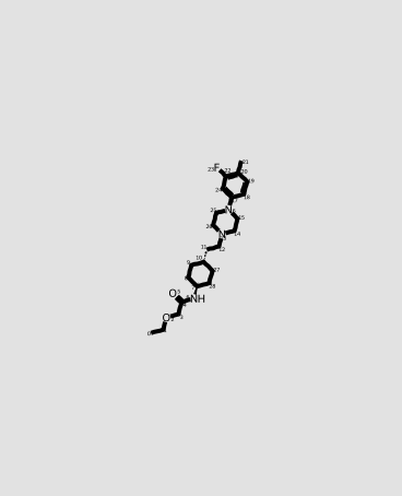 CCOCC(=O)N[C@H]1CC[C@H](CCN2CCN(c3ccc(C)c(F)c3)CC2)CC1